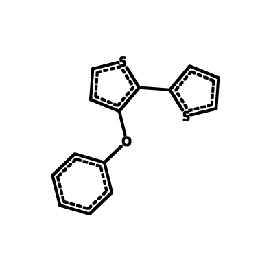 c1ccc(Oc2ccsc2-c2cccs2)cc1